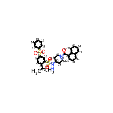 CC(C)c1ccc(S(=O)(=O)c2ccccc2)cc1S(=O)(=O)NC1CCN(C(=O)c2cccc3ccccc23)CC1